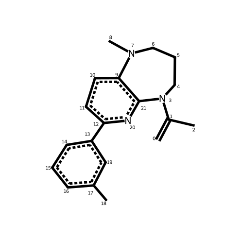 C=C(C)N1CCCN(C)c2ccc(-c3cccc(C)c3)nc21